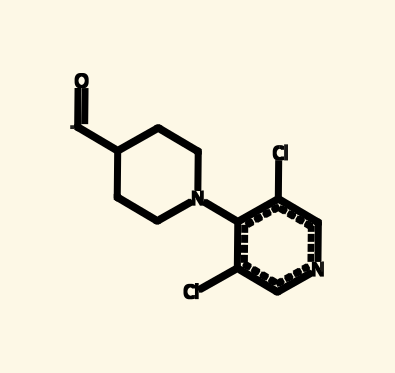 O=[C]C1CCN(c2c(Cl)cncc2Cl)CC1